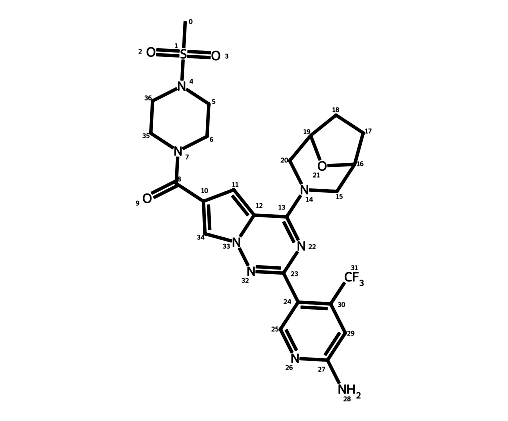 CS(=O)(=O)N1CCN(C(=O)c2cc3c(N4CC5CCC(C4)O5)nc(-c4cnc(N)cc4C(F)(F)F)nn3c2)CC1